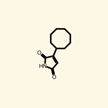 O=C1C=C(C2CCCCCCC2)C(=O)N1